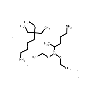 CCC(CC)(CCCCN)O[SiH3].CCO[SiH](OCC)C(C)CCCN